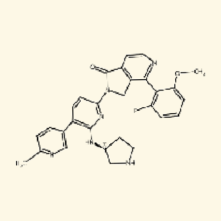 COc1cccc(F)c1-c1nccc2c1CN(c1ccc(-c3ccc(C)nc3)c(N[C@H]3CCNC3)n1)C2=O